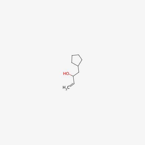 C=CC(O)CC1CCCC1